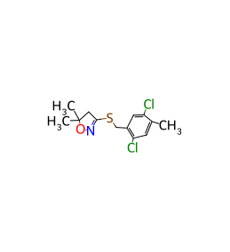 Cc1cc(Cl)c(CSC2=NOC(C)(C)C2)cc1Cl